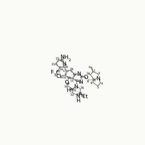 C=C1CN2CCC[C@@]2(COc2nc3c4c(c(Cl)c(-c5nc(N)ccc5C(F)(F)F)cc4n2)OC[C@@H]2CN[C@H](CC)CN32)C1